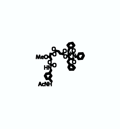 COC(COC(=O)CCC(=O)OC1C(Cc2ccccc2)C(=O)N(c2ccccc2)C(=O)N1Cc1ccccc1)COC(=O)NCc1cccc(CNC(C)=O)c1